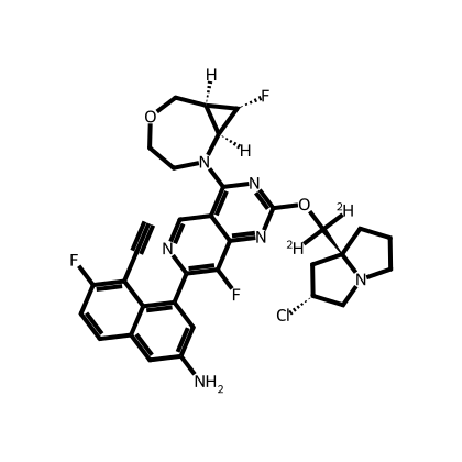 [2H]C([2H])(Oc1nc(N2CCOC[C@H]3[C@H](F)[C@H]32)c2cnc(-c3cc(N)cc4ccc(F)c(C#C)c34)c(F)c2n1)[C@@]12CCCN1C[C@H](Cl)C2